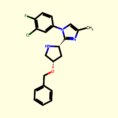 Cc1cn(-c2ccc(F)c(Cl)c2)c([C@@H]2C[C@H](OCc3ccccc3)CN2)n1